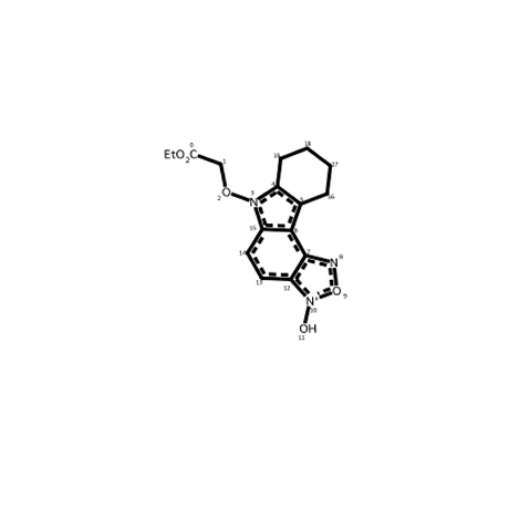 CCOC(=O)COn1c2c(c3c4no[n+](O)c4ccc31)CCCC2